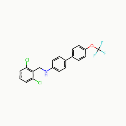 FC(F)(F)Oc1ccc(-c2ccc(NCc3c(Cl)cccc3Cl)cc2)cc1